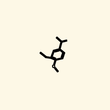 CCc1cc(C(C)C)ccc1OC